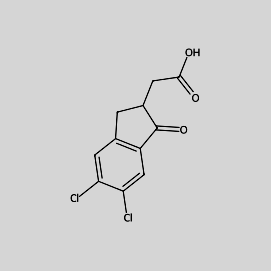 O=C(O)CC1Cc2cc(Cl)c(Cl)cc2C1=O